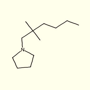 CCCCC(C)(C)CN1CCCC1